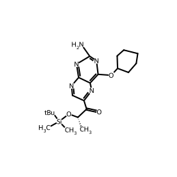 C[C@H](O[Si](C)(C)C(C)(C)C)C(=O)c1cnc2nc(N)nc(OC3CCCCC3)c2n1